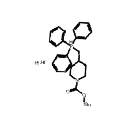 CC(C)(C)OC(=O)N1CCC(C[PH](c2ccccc2)(c2ccccc2)c2ccccc2)CC1.I.I